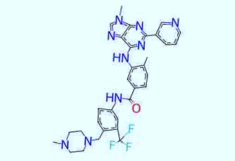 Cc1ccc(C(=O)Nc2ccc(CN3CCN(C)CC3)c(C(F)(F)F)c2)cc1Nc1nc(-c2cccnc2)nc2c1ncn2C